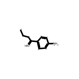 C[CH]CC(=N)c1ccc(N)cc1